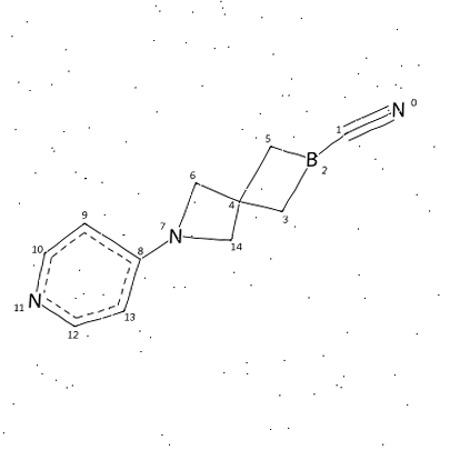 N#CB1CC2(C1)CN(c1ccncc1)C2